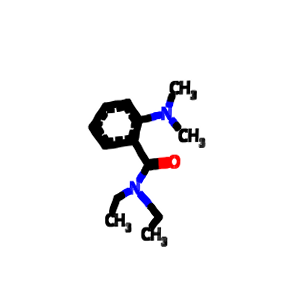 CCN(CC)C(=O)c1ccccc1N(C)C